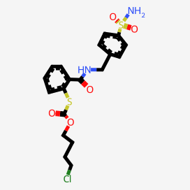 NS(=O)(=O)c1ccc(CNC(=O)c2ccccc2SC(=O)OCCCCCl)cc1